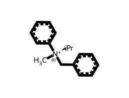 CC(C)[N@@+](C)(Cc1ccccc1)c1ccccc1